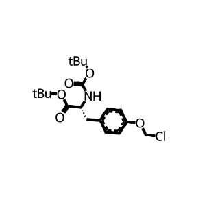 CC(C)(C)OC(=O)N[C@H](Cc1ccc(OCCl)cc1)C(=O)OC(C)(C)C